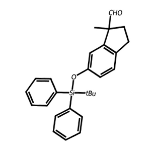 CC1(C=O)CCc2ccc(O[Si](c3ccccc3)(c3ccccc3)C(C)(C)C)cc21